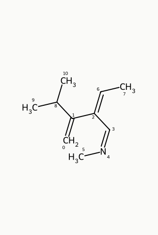 C=C(C(/C=N\C)=C/C)C(C)C